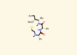 CC[C@H](C)[C@@H]([C@@H](CC(C)=O)OC)N(C)C(=O)[C@@H](NC(=O)[C@H](C(C)C)N(C)CCS)C(C)C